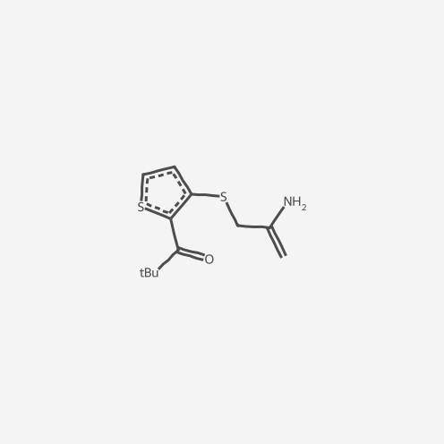 C=C(N)CSc1ccsc1C(=O)C(C)(C)C